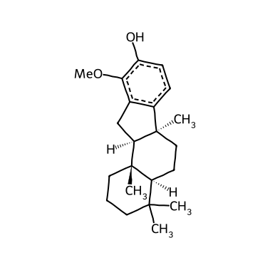 COc1c(O)ccc2c1C[C@@H]1[C@@]3(C)CCCC(C)(C)[C@@H]3CC[C@]21C